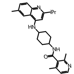 Cc1ccc2nc(C(C)C)cc(NC3CCC(NC(=O)c4c(C)ccnc4C)CC3)c2c1